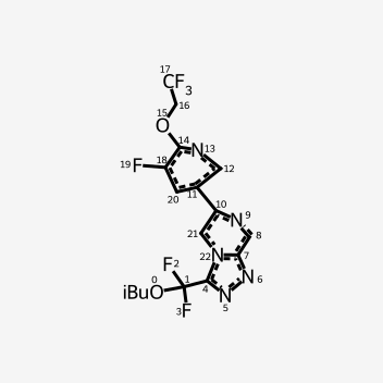 CC(C)COC(F)(F)c1nnc2cnc(-c3cnc(OCC(F)(F)F)c(F)c3)cn12